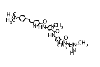 [H]/N=C(\CCNC(=O)c1cc(NC(=O)c2cc(NC(=O)c3ccc(C=Cc4ccc(N(C)C)cc4)nc3)cn2C)cn1C)NCC